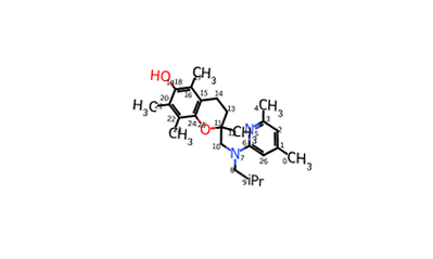 Cc1cc(C)nc(N(CC(C)C)CC2(C)CCc3c(C)c(O)c(C)c(C)c3O2)c1